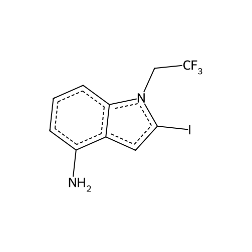 Nc1cccc2c1cc(I)n2CC(F)(F)F